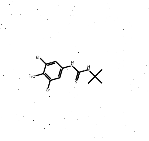 CC(C)(C)NC(=S)Nc1cc(Br)c(O)c(Br)c1